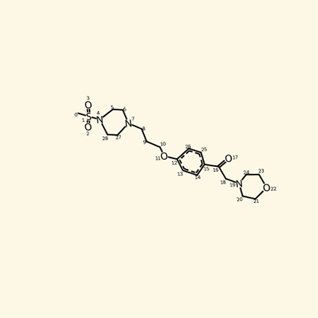 CS(=O)(=O)N1CCN(CCCOc2ccc(C(=O)CN3CCOCC3)cc2)CC1